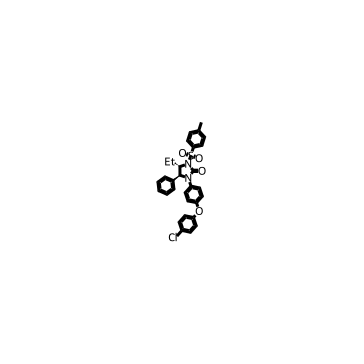 CC[C@H]1[C@H](c2ccccc2)N(c2ccc(Oc3ccc(Cl)cc3)cc2)C(=O)N1S(=O)(=O)c1ccc(C)cc1